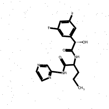 CCCC(NC(=O)[C@@H](O)c1cc(F)cc(F)c1)C(=O)Nc1cnccn1